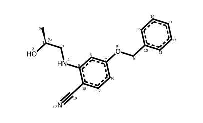 C[C@H](O)CNc1cc(OCc2ccccc2)ccc1C#N